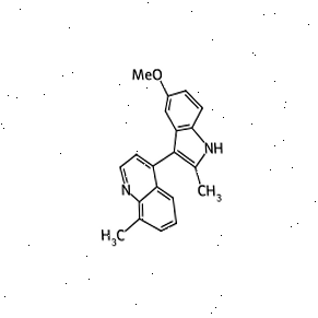 COc1ccc2[nH]c(C)c(-c3ccnc4c(C)cccc34)c2c1